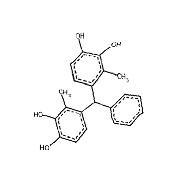 Cc1c(C(c2ccccc2)c2ccc(O)c(O)c2C)ccc(O)c1O